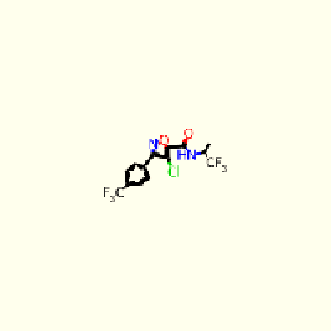 C[C@H](NC(=O)c1onc(-c2ccc(C(F)(F)F)cc2)c1Cl)C(F)(F)F